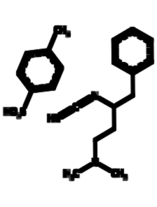 CN(C)CCC(Cc1ccccc1)N=C=N.Cc1ccc(S(=O)(=O)O)cc1